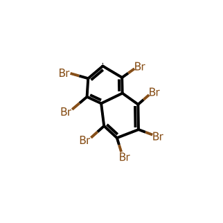 Brc1[c]c(Br)c2c(Br)c(Br)c(Br)c(Br)c2c1Br